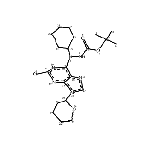 CC(C)(C)OC(=O)NN(c1nc(Cl)nc2c1ncn2C1CCCCO1)C1CCCCC1